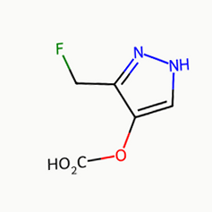 O=C(O)Oc1c[nH]nc1CF